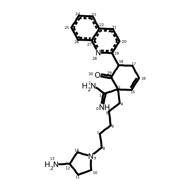 N=C(N)C1(CCCCCN2CCC(N)C2)C=CCC(c2ccc3ccccc3n2)C1=O